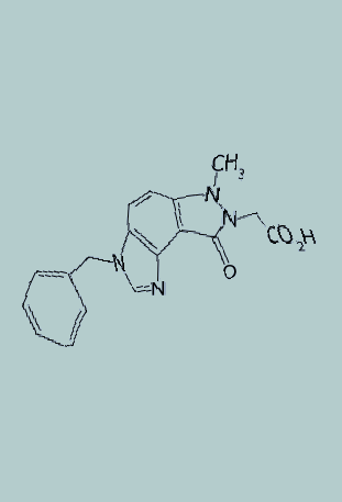 Cn1c2ccc3c(ncn3Cc3ccccc3)c2c(=O)n1CC(=O)O